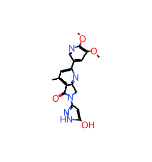 COc1cc(-c2cc(C)c3c(n2)CN(c2cc(O)[nH]n2)C3=O)cnc1OC